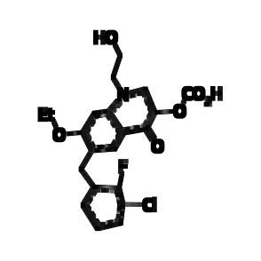 CCOc1cc2c(cc1Cc1cccc(Cl)c1F)c(=O)c(OC(=O)O)cn2CCO